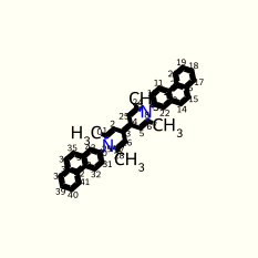 CC1=CC(=C2C=C(C)N(c3ccc4c(ccc5ccccc54)c3)C(C)=C2)C=C(C)N1c1ccc2c(ccc3ccccc32)c1